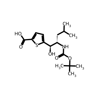 CC(C)C[C@H](NC(=O)OC(C)(C)C)[C@@H](O)c1ccc(C(=O)O)s1